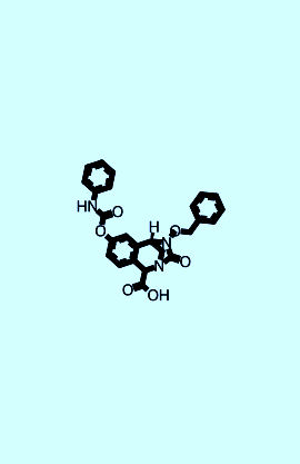 O=C(Nc1ccccc1)Oc1ccc2c(c1)[C@H]1CN(C(=O)N1OCc1ccccc1)C2C(=O)O